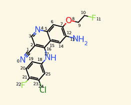 N#Cc1cnc2cc(OCCF)c(N)cc2c1Nc1ccc(F)c(Cl)c1